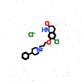 C[N+]1(CCCOc2cc3c(cc2Cl)CCC(=O)N3)CCC(c2ccccc2)CC1.[Cl-]